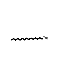 CCCCCCCCCCCCCC[CH2][Tm]